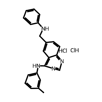 Cc1cccc(Nc2ncnc3ccc(CNc4ccccc4)cc23)c1.Cl.Cl